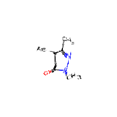 CC(=O)C1C(=O)N(C)N=C1C